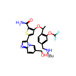 CC(Oc1cc(-c2cnc3ccc(CO)cn23)sc1C(N)=O)c1ccc(CNC(C)(C)C)cc1OC(F)F